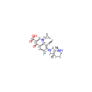 C#Cc1c(N2C[C@@H]3CCCN[C@@H]3C2)c(F)cc2c(=O)c(C(=O)O)cn(C3CC3)c12